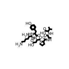 CC(NC(=O)C1CCCN1C(=O)C(CC(=O)O)NC(=O)C(Cc1ccc(O)cc1)NC(=O)C(N)CCCCN)C(=O)NC(C(=O)O)C(C)C